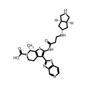 C[C@@H]1c2sc(NC(=O)CCN[C@@H]3C[C@H]4CNC[C@H]4C3)c(-c3nc4cnccc4s3)c2CCN1C(=O)O